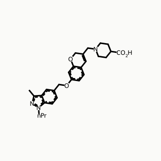 CCCn1nc(C)c2cc(COc3ccc4c(c3)OCC(CN3CCC(C(=O)O)CC3)=C4)ccc21